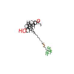 C[C@]12CCC(=O)CC1CC[C@@H]1[C@H]2C(CCCCCCCCCCSCCCC(F)(F)C(F)(F)F)C[C@]2(C)C(O)CC[C@@H]12